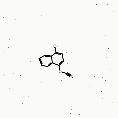 N#COc1ccc(O)c2ccccc12